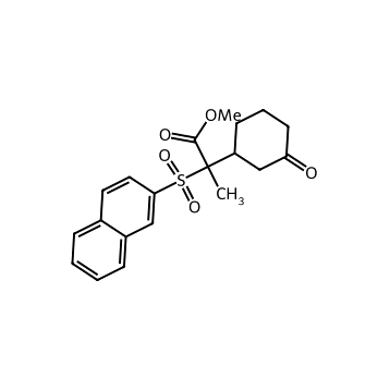 COC(=O)C(C)(C1CCCC(=O)C1)S(=O)(=O)c1ccc2ccccc2c1